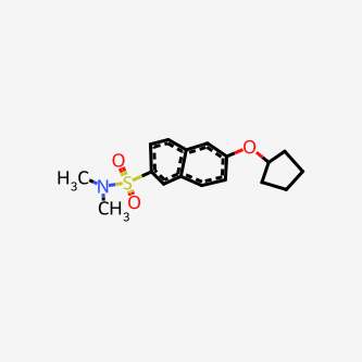 CN(C)S(=O)(=O)c1ccc2cc(OC3CCCC3)ccc2c1